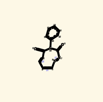 O=C1/C=C/C=C\N=N\C(=O)N1c1ccccc1